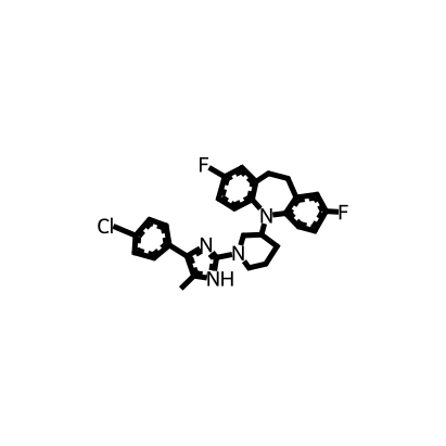 Cc1[nH]c(N2CCCC(N3c4ccc(F)cc4CCc4cc(F)ccc43)C2)nc1-c1ccc(Cl)cc1